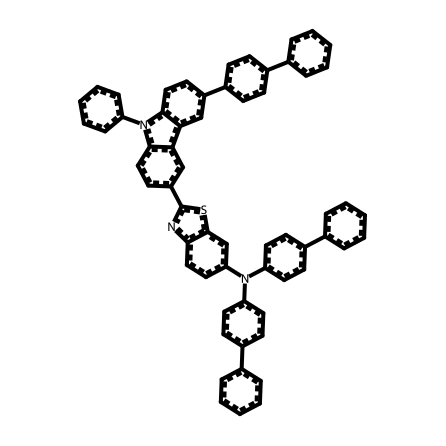 c1ccc(-c2ccc(-c3ccc4c(c3)c3cc(-c5nc6ccc(N(c7ccc(-c8ccccc8)cc7)c7ccc(-c8ccccc8)cc7)cc6s5)ccc3n4-c3ccccc3)cc2)cc1